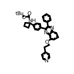 CC(C)(C)OC(=O)NC1(c2ccc(-c3nc4c(OCCc5ccncc5)cccc4nc3-c3ccccc3)cc2)CCC1